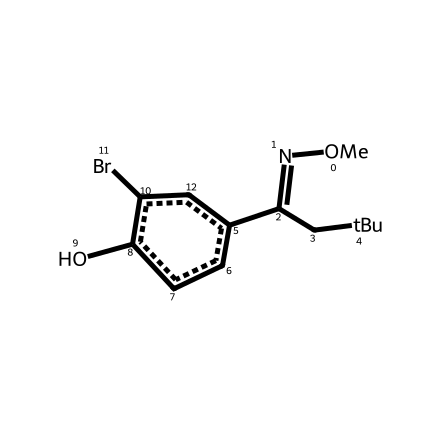 CON=C(CC(C)(C)C)c1ccc(O)c(Br)c1